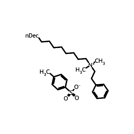 CCCCCCCCCCCCCCCCCC[N+](C)(C)CCc1ccccc1.Cc1ccc(S(=O)(=O)[O-])cc1